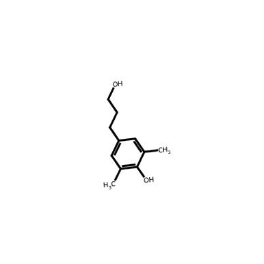 Cc1cc(CCCO)cc(C)c1O